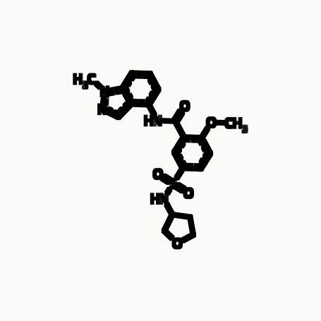 COc1ccc(S(=O)(=O)NC2CCOC2)cc1C(=O)Nc1cccc2c1cnn2C